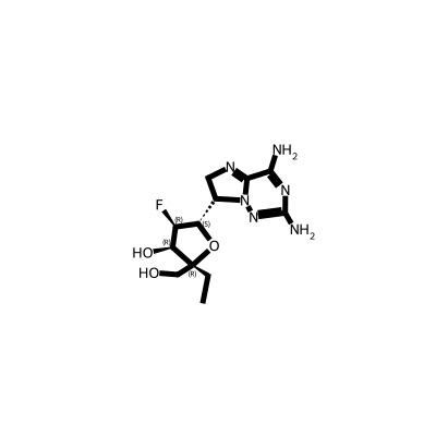 CC[C@]1(CO)O[C@@H](C2CN=C3C(N)=NC(N)=NN32)[C@H](F)[C@@H]1O